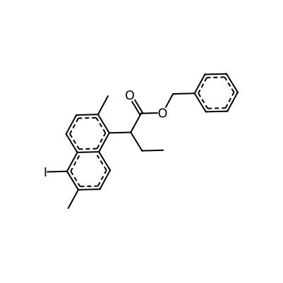 CCC(C(=O)OCc1ccccc1)c1c(C)ccc2c(I)c(C)ccc12